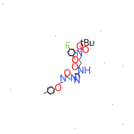 Cc1ccc(OCCN(C)C(=O)Cn2cc(NC(=O)CC3CN(C(=O)OC(C)(C)C)c4cc(F)ccc4O3)cn2)cc1